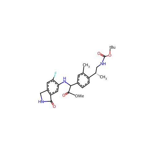 COC(=O)C(Nc1cc2c(cc1F)CNC2=O)c1ccc([C@@H](C)CNC(=O)OC(C)(C)C)c(C)c1